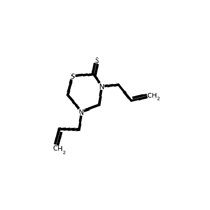 C=CCN1CSC(=S)N(CC=C)C1